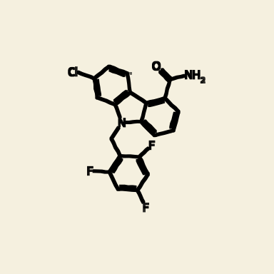 NC(=O)c1cccc2c1c1[c]cc(Cl)cc1n2Cc1c(F)cc(F)cc1F